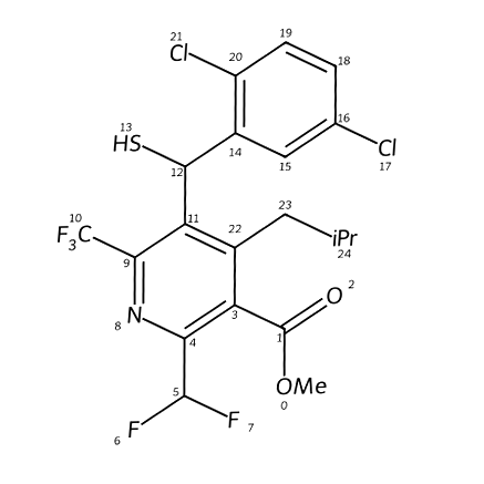 COC(=O)c1c(C(F)F)nc(C(F)(F)F)c(C(S)c2cc(Cl)ccc2Cl)c1CC(C)C